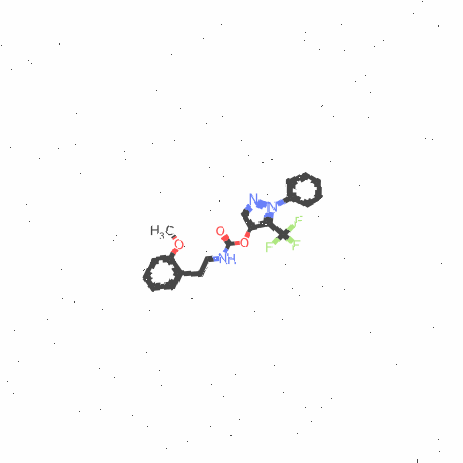 COc1ccccc1CCNC(=O)Oc1cnn(-c2ccccc2)c1C(F)(F)F